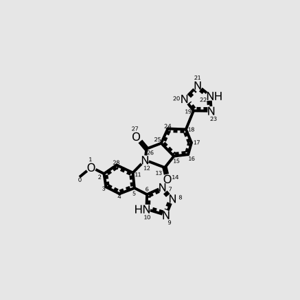 COc1ccc(-c2nnn[nH]2)c(N2C(=O)c3ccc(-c4nn[nH]n4)cc3C2=O)c1